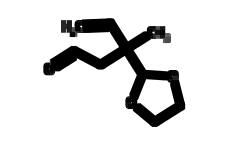 C=CC(C)(CC=O)C1OCCO1